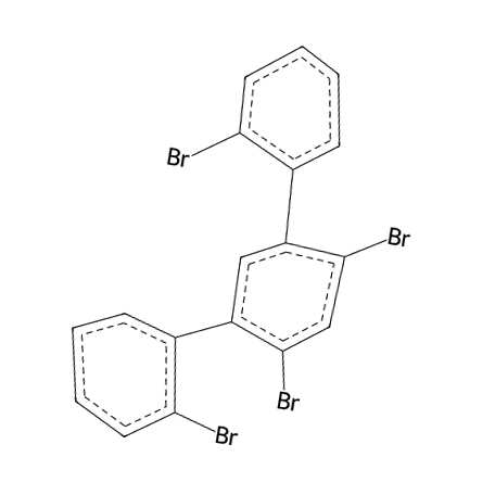 Brc1ccccc1-c1cc(-c2ccccc2Br)c(Br)cc1Br